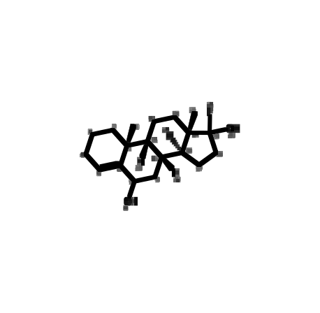 C[C@]12CCCC=C1C(O)C[C@@H]1[C@H]2CC[C@@]2(C)[C@H]1CCC2(O)F